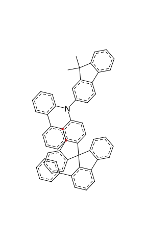 CC1(C)c2ccccc2-c2ccc(N(c3ccc4c(c3)-c3ccccc3C43c4ccccc4-c4cccc(-c5ccccc5)c43)c3ccccc3-c3ccccc3)cc21